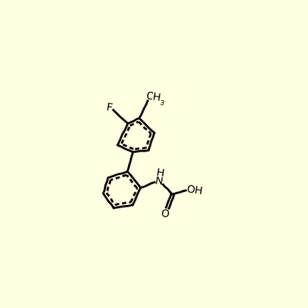 Cc1ccc(-c2ccccc2NC(=O)O)cc1F